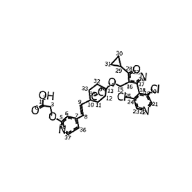 O=C(O)COc1cc(C=CC23CCC(OCc4c(-c5c(Cl)cncc5Cl)noc4C4CC4)(CC2)CC3)ccn1